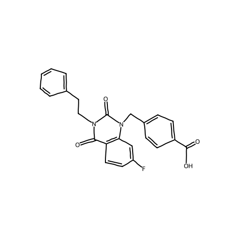 O=C(O)c1ccc(Cn2c(=O)n(CCc3ccccc3)c(=O)c3ccc(F)cc32)cc1